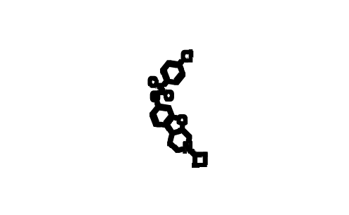 O=S(=O)(Oc1ccc2c(c1)OC1CN(C3CCC3)CCC21)c1ccc(Cl)cc1